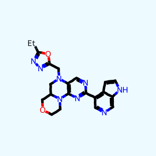 CCc1nnc(CN2CC3COCCN3c3nc(-c4cncc5[nH]ccc45)ncc32)o1